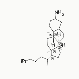 CC(C)CCCC(C)[C@H]1CC[C@H]2[C@@H]3CCC4CC(N)CC[C@]4(C)[C@H]3CC[C@]12C